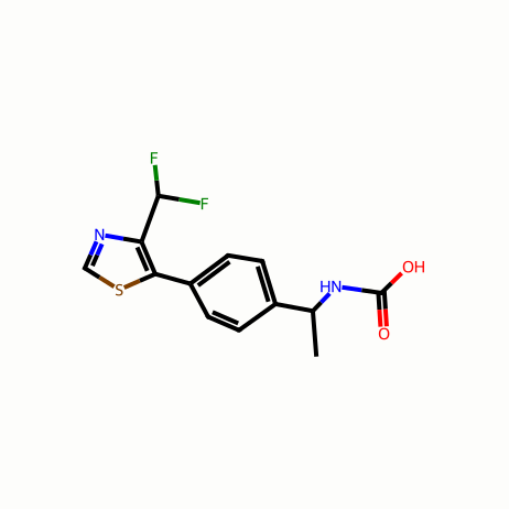 CC(NC(=O)O)c1ccc(-c2scnc2C(F)F)cc1